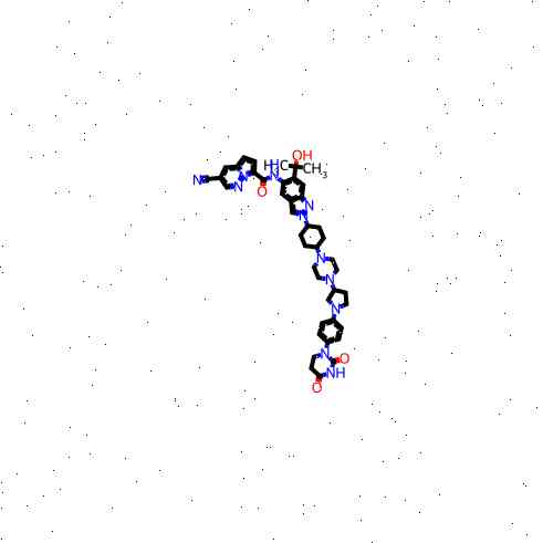 CC(C)(O)c1cc2nn(C3CCC(N4CCN(C5CCN(c6ccc(N7CCC(=O)NC7=O)cc6)C5)CC4)CC3)cc2cc1NC(=O)c1ccc2cc(C#N)cnn12